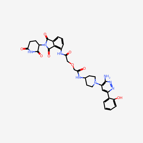 Nc1nnc(-c2ccccc2O)cc1N1CCC(NC(=O)COCC(=O)Nc2cccc3c2C(=O)N(C2CCC(=O)NC2=O)C3=O)CC1